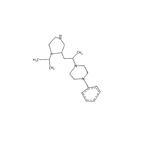 CC(CC1CNCCN1C(C)C)N1CCN(c2ccccc2)CC1